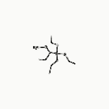 CCO[Si](OCC)(OCC)C(CC)O[SiH3]